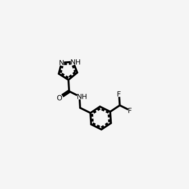 O=C(NCc1cccc(C(F)F)c1)c1cn[nH]c1